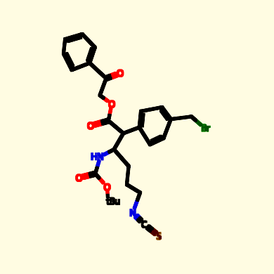 CC(C)(C)OC(=O)NC(CCCN=C=S)C(C(=O)OCC(=O)c1ccccc1)c1ccc(CBr)cc1